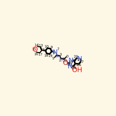 C/C(=C\C=C(/C)N(C)c1ccc(C2=CCOCC2)cc1)Oc1nc(O)c2ccncc2n1